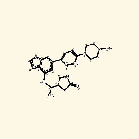 CSN1CCN(C2=CC=C(c3cc(O[C@H](C)[C@H]4CNC(=O)C4)c4scnc4c3)NN2)CC1